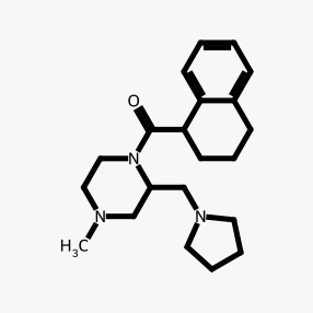 CN1CCN(C(=O)C2CCCc3ccccc32)C(CN2CCCC2)C1